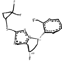 Fc1ccccc1[C@@H]1C[C@H](F)c2nc(SC3CC3(F)F)nn21